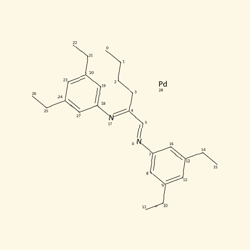 CCCCC(C=Nc1cc(CC)cc(CC)c1)=Nc1cc(CC)cc(CC)c1.[Pd]